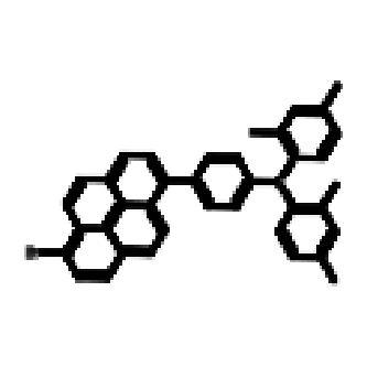 Cc1ccc(N(c2ccc(-c3ccc4ccc5c(Br)ccc6ccc3c4c65)cc2)c2ccc(C)cc2C)c(C)c1